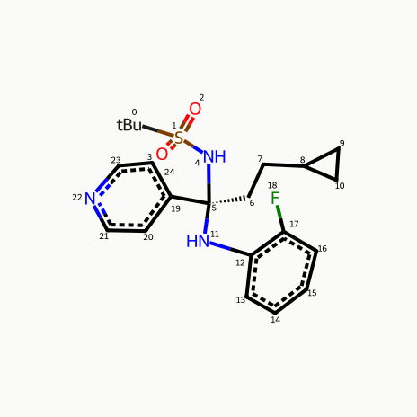 CC(C)(C)S(=O)(=O)N[C@@](CCC1CC1)(Nc1ccccc1F)c1ccncc1